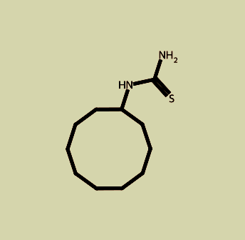 NC(=S)NC1CCCCCCCCC1